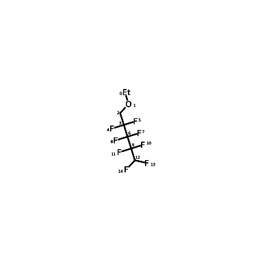 CCOCC(F)(F)C(F)(F)C(F)(F)C(F)F